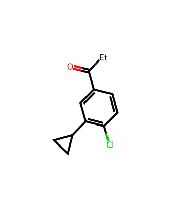 CCC(=O)c1ccc(Cl)c(C2CC2)c1